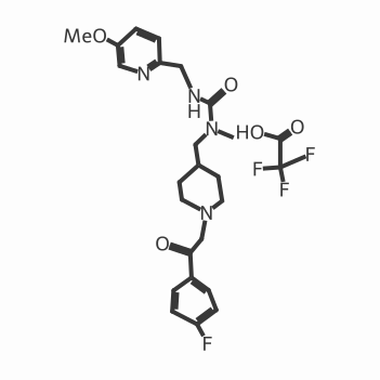 COc1ccc(CNC(=O)N(C)CC2CCN(CC(=O)c3ccc(F)cc3)CC2)nc1.O=C(O)C(F)(F)F